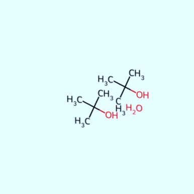 CC(C)(C)O.CC(C)(C)O.O